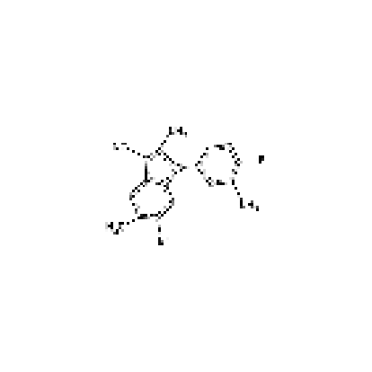 Cc1cc(-n2c(C)c(C#N)c3cc(C)c(Br)cc32)ccc1F